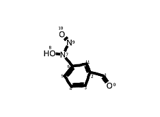 O=Cc1cccc(N(O)N=O)c1